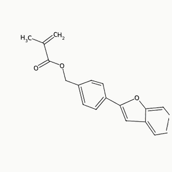 C=C(C)C(=O)OCc1ccc(-c2cc3ccccc3o2)cc1